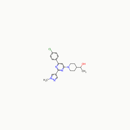 CC(O)C1CCN(c2cc(-c3ccc(Cl)cc3)nc(-c3cnn(C)c3)n2)CC1